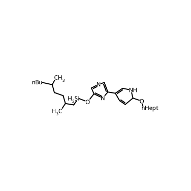 CCCCCCCOC1C=CC(c2cncc(O[SiH2]CC(C)CCC(C)CCCC)n2)=CN1